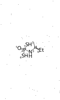 CC[C@H](C)NP(=O)(S)S